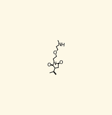 C=C(C)C1CC(=O)N(CCOCCNC)C1=O